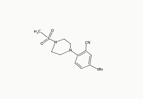 CC(C)(C)c1ccc(N2CCN(S(C)(=O)=O)CC2)c(C#N)c1